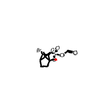 CC12CCC(C(Br)C1=O)C2(C)CS(=O)(=O)OC=O